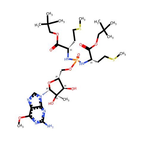 COc1nc(N)nc2c1ncn2[C@@H]1O[C@H](COP(=O)(N[C@@H](CCSC)C(=O)OCC(C)(C)C)N[C@@H](CCSC)C(=O)OCC(C)(C)C)[C@@H](O)[C@@]1(C)O